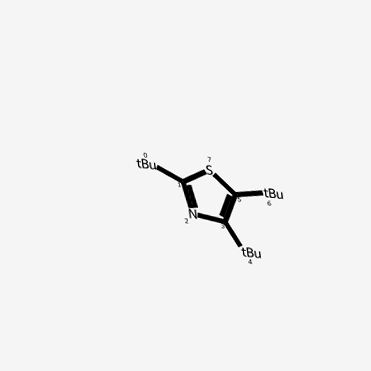 CC(C)(C)c1nc(C(C)(C)C)c(C(C)(C)C)s1